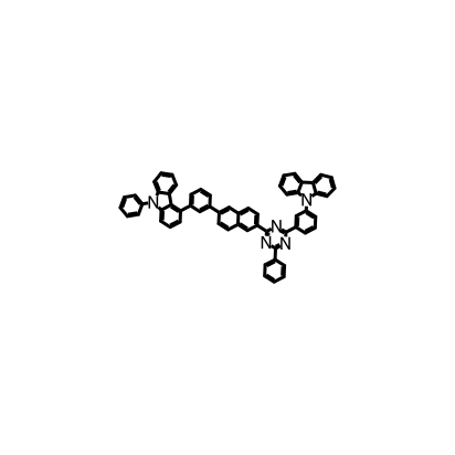 c1ccc(-c2nc(-c3cccc(-n4c5ccccc5c5ccccc54)c3)nc(-c3ccc4cc(-c5cccc(-c6cccc7c6c6ccccc6n7-c6ccccc6)c5)ccc4c3)n2)cc1